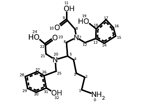 NCCCCC(CN(CC(=O)O)Cc1ccccc1O)N(CC(=O)O)Cc1ccccc1O